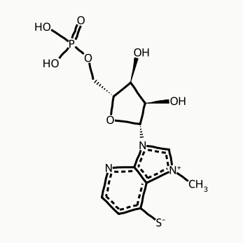 C[n+]1cn([C@@H]2O[C@H](COP(=O)(O)O)[C@@H](O)[C@H]2O)c2nccc([S-])c21